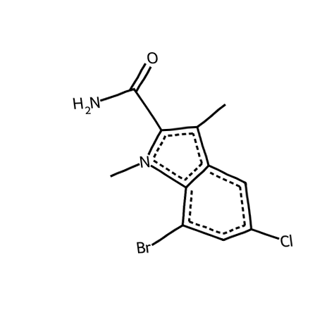 Cc1c(C(N)=O)n(C)c2c(Br)cc(Cl)cc12